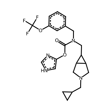 O=C(Oc1c[nH]cn1)N(Cc1cccc(OC(F)(F)F)c1)CC1C2CN(CC3CC3)CC21